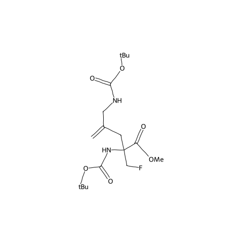 C=C(CNC(=O)OC(C)(C)C)CC(CF)(NC(=O)OC(C)(C)C)C(=O)OC